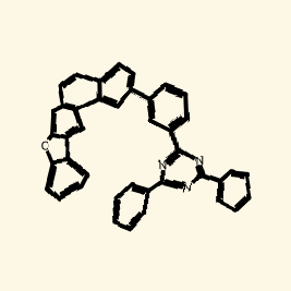 c1ccc(-c2nc(-c3ccccc3)nc(-c3cccc(-c4ccc5ccc6cc7oc8ccccc8c7cc6c5c4)c3)n2)cc1